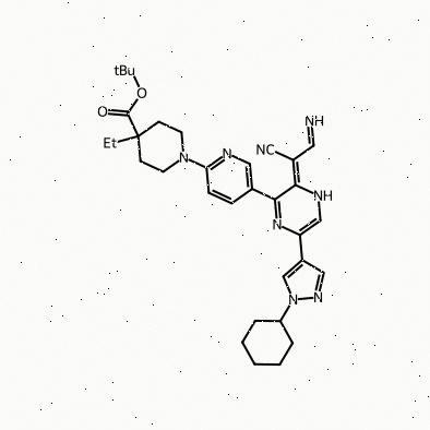 CCC1(C(=O)OC(C)(C)C)CCN(c2ccc(C3=NC(c4cnn(C5CCCCC5)c4)=CN/C3=C(/C#N)C=N)cn2)CC1